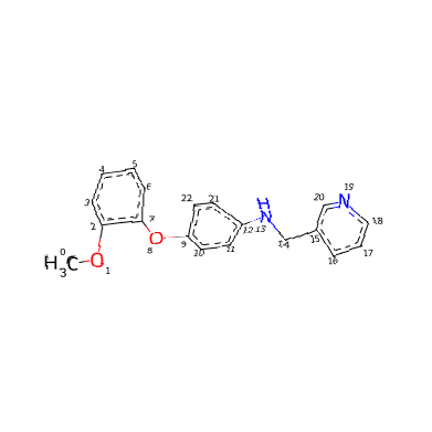 COc1ccccc1Oc1ccc(NCc2cccnc2)cc1